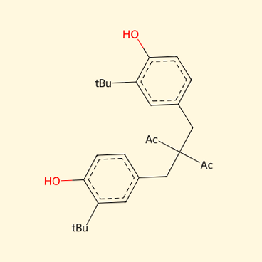 CC(=O)C(Cc1ccc(O)c(C(C)(C)C)c1)(Cc1ccc(O)c(C(C)(C)C)c1)C(C)=O